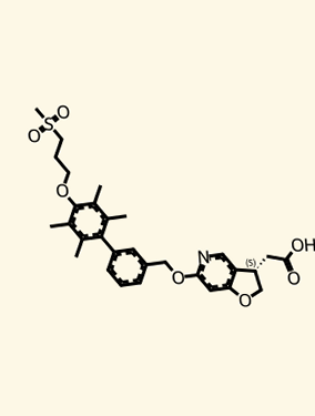 Cc1c(C)c(-c2cccc(COc3cc4c(cn3)[C@H](CC(=O)O)CO4)c2)c(C)c(C)c1OCCCS(C)(=O)=O